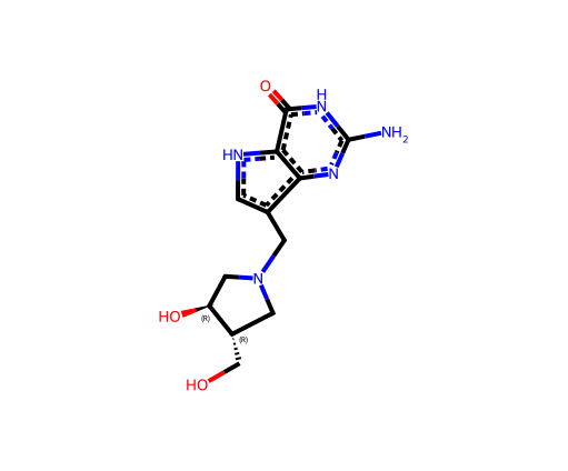 Nc1nc2c(CN3C[C@H](CO)[C@@H](O)C3)c[nH]c2c(=O)[nH]1